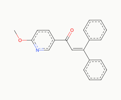 COc1ccc(C(=O)C=C(c2ccccc2)c2ccccc2)cn1